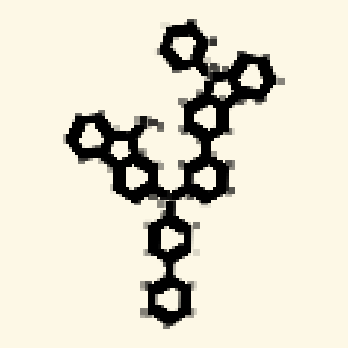 CC1c2ccccc2-c2ccc(N(c3ccc(-c4ccccc4)cc3)c3cccc(-c4ccc5c(c4)c4ccccc4n5-c4ccccc4)c3)cc21